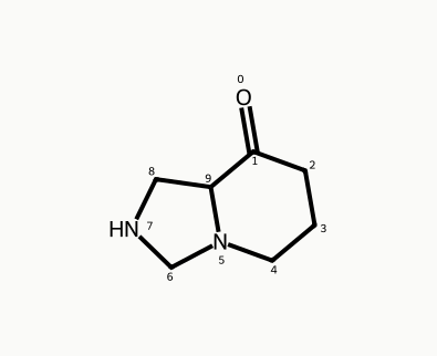 O=C1CCCN2CNCC12